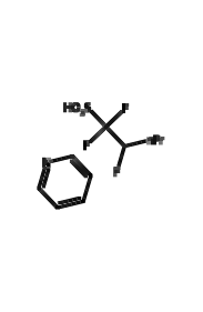 CCCC(F)C(F)(F)S(=O)(=O)O.c1ccncc1